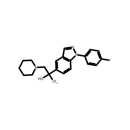 OC(CN1CCCCC1)(c1ccc2c(cnn2-c2ccc(F)cc2)c1)C(F)(F)F